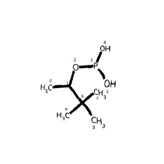 CC(OP(O)O)C(C)(C)C